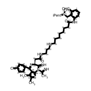 CCCC(C)N(C)Cc1c(C=O)cccc1NC(=O)CCCCCCCNCCCNC(=O)C[C@@H]1N=C(c2ccc(Cl)cc2)c2c(sc(C)c2C)N(C(C)=N)C1=N